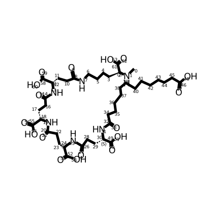 CN[C@@H](CCCCNC(=O)CC[C@H](NC(=O)CC[C@H](NC(=O)CC[C@H](NC(=O)CC[C@H](NC(=O)CCCCCCCCCCCCC(=O)O)C(=O)O)C(=O)O)C(=O)O)C(=O)O)C(=O)O